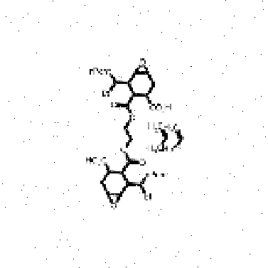 C=CC.C=CC.CCCCCC(CC)C1C2OC2CC(C(=O)O)C1C(=O)OCCOC(=O)C1C(C(=O)O)CC2OC2C1C(CC)CCCCC